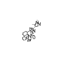 Cc1c(-c2nc3c4cccc(C(F)(F)F)c4[nH]c(=O)n3n2)cnn1C